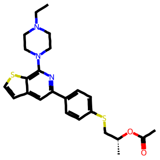 CCN1CCN(c2nc(-c3ccc(SC[C@@H](C)OC(C)=O)cc3)cc3ccsc23)CC1